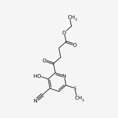 CCOC(=O)CCC(=O)c1nc(SC)cc(C#N)c1O